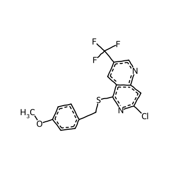 COc1ccc(CSc2nc(Cl)cc3ncc(C(F)(F)F)cc23)cc1